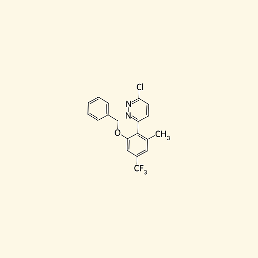 Cc1cc(C(F)(F)F)cc(OCc2ccccc2)c1-c1ccc(Cl)nn1